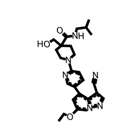 CCOc1cc(-c2ccc(N3CCC(CO)(C(=O)NCC(C)C)CC3)nc2)c2c(C#N)cnn2c1